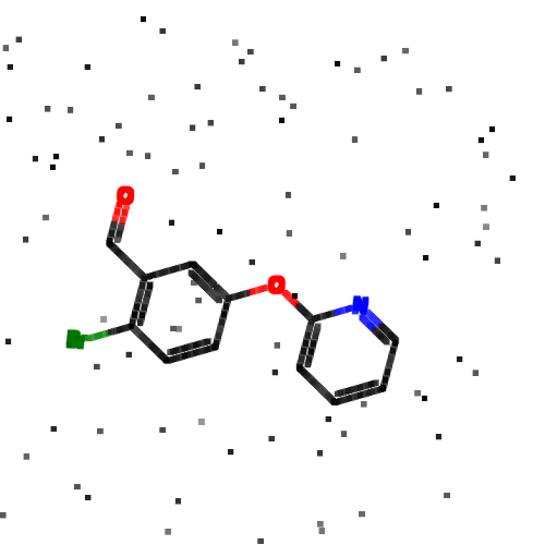 O=Cc1cc(Oc2ccccn2)ccc1Br